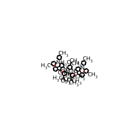 Cc1ccc(N(c2ccc(C)cc2)c2ccc(N3c4ccc(C(C)(C)C)cc4B4c5cc(C(C)(C)C)ccc5N(c5ccc(N(c6ccc(C)cc6)c6ccc(C)cc6)c6c5C(C)(C)c5ccccc5-6)c5cc(C(C)(C)C)cc3c54)c3c2-c2ccccc2C3(C)C)cc1